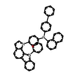 c1ccc(-c2ccc(N(c3ccc(-n4ccc5ccc6c7ccccc7n(-c7ccccc7)c6c54)cc3)c3cccc4ccccc34)cc2)cc1